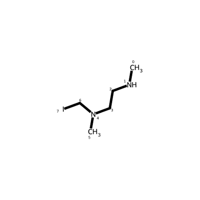 CNCCN(C)CI